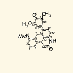 CNc1ccccc1Cc1c(-c2cc(C)c(=O)n(C)c2)ccc2c1CCC(=O)N2